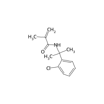 C=C(C)C(=O)NC(C)(C)c1ccccc1Cl